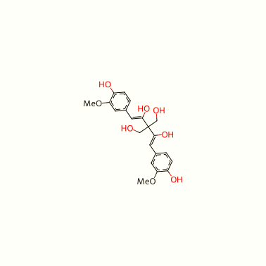 COc1cc(C=C(O)C(CO)(CO)C(O)=Cc2ccc(O)c(OC)c2)ccc1O